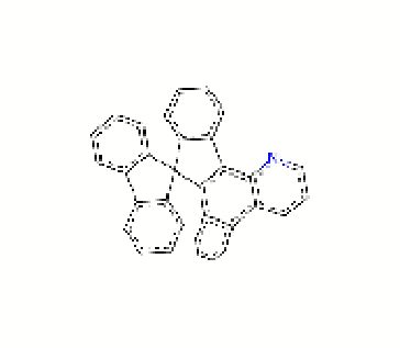 c1ccc2c(c1)-c1ccccc1C21c2ccccc2-c2c1c1ccccc1c1cccnc21